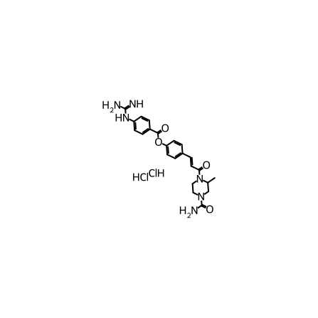 CC1CN(C(N)=O)CCN1C(=O)C=Cc1ccc(OC(=O)c2ccc(NC(=N)N)cc2)cc1.Cl.Cl